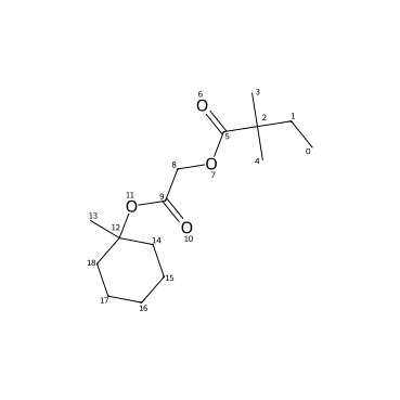 CCC(C)(C)C(=O)OCC(=O)OC1(C)CCCCC1